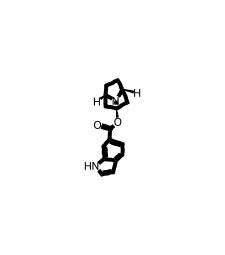 CN1[C@@H]2CC[C@H]1C[C@H](OC(=O)c1ccc3cc[nH]c3c1)C2